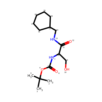 CC(C)(C)OC(=O)NC(CO)C(=O)NC[C]1CCCCC1